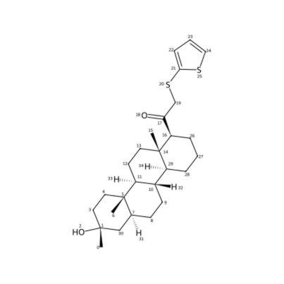 C[C@@]1(O)CC[C@@]2(C)[C@@H](CC[C@@H]3[C@@H]2CC[C@]2(C)[C@@H](C(=O)CSc4cccs4)CCC[C@@H]32)C1